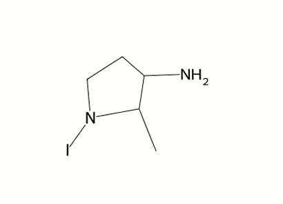 CC1C(N)CCN1I